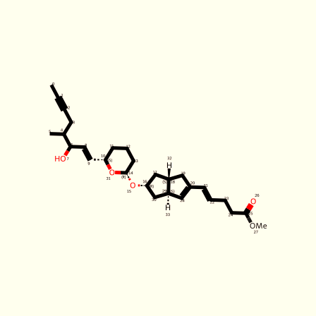 CC#CCC(C)C(O)C=C[C@@H]1CCC[C@H](O[C@@H]2C[C@@H]3CC(C=CCCC(=O)OC)=C[C@H]3C2)O1